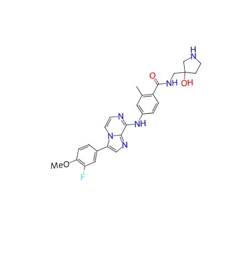 COc1ccc(-c2cnc3c(Nc4ccc(C(=O)NCC5(O)CCNC5)c(C)c4)nccn23)cc1F